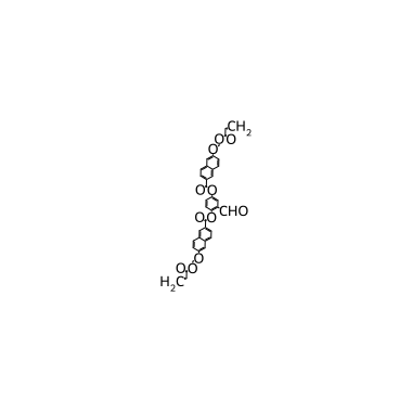 C=CC(=O)OCOc1ccc2cc(C(=O)Oc3ccc(OC(=O)c4ccc5cc(OCOC(=O)C=C)ccc5c4)c(C=O)c3)ccc2c1